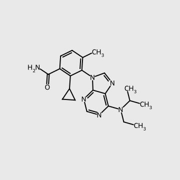 CCN(c1ncnc2c1ncn2-c1c(C)ccc(C(N)=O)c1C1CC1)C(C)C